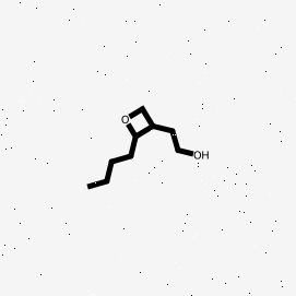 CCCCC1OCC1CCO